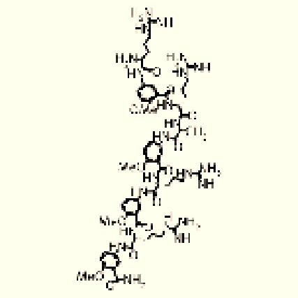 COc1ccc(NC(=O)[C@@H](CCCNC(=N)N)NC(=O)c2cc(NC(=O)[C@@H](CCCNC(=N)N)NC(=O)c3cc(NC(=O)[C@H](C)NC(=O)[C@@H](CCCNC(=N)N)NC(=O)c4cc(NC(=O)[C@H](N)CCCNC(=N)N)ccc4OC)ccc3OC)ccc2OC)cc1C(N)=O